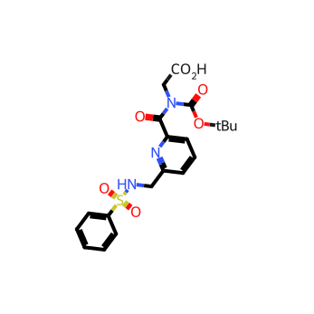 CC(C)(C)OC(=O)N(CC(=O)O)C(=O)c1cccc(CNS(=O)(=O)c2ccccc2)n1